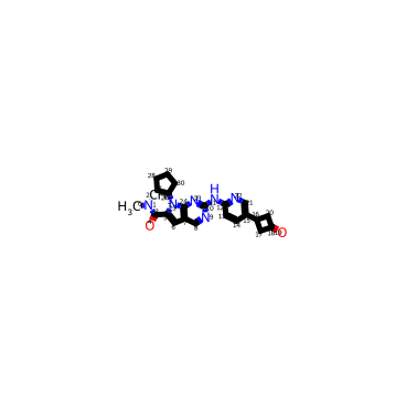 CN(C)C(=O)c1cc2cnc(Nc3ccc(C4CC(=O)C4)cn3)nc2n1C1CCCC1